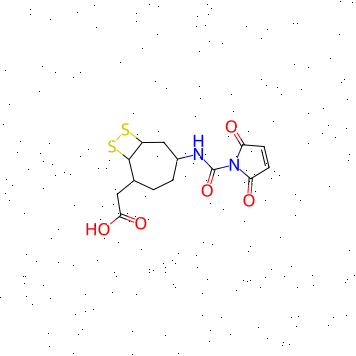 O=C(O)CC1CCC(NC(=O)N2C(=O)C=CC2=O)CC2SSC12